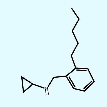 CCCCCc1ccccc1CNC1CC1